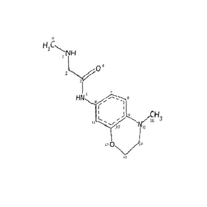 CNCC(=O)Nc1ccc2c(c1)OCCN2C